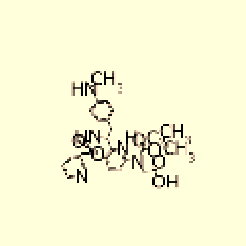 CNc1ccc(CC(NS(=O)(=O)c2cccnc2)c2cccc(N(CC(=O)O)C(=O)OC(C)(C)C)n2)cc1